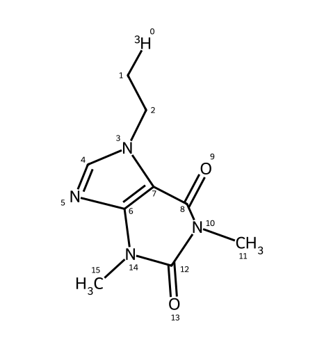 [3H]CCn1cnc2c1c(=O)n(C)c(=O)n2C